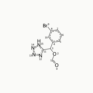 O=[C]OC(c1cccc(Br)c1)c1nnn[nH]1